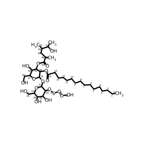 CCCCCCCCCCCCCCCC(=O)OC1C(OC2OC(CO)C(O)C(O)C2OSOOO)OC(CO)C(O)C1OC(=O)C(C)CC(C)C(C)O